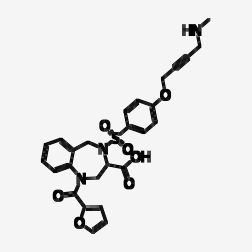 CNCC#CCOc1ccc(S(=O)(=O)N2Cc3ccccc3N(C(=O)c3ccco3)CC2C(=O)O)cc1